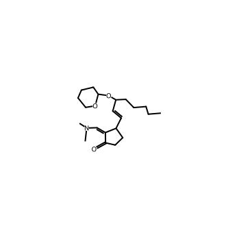 CCCCCC(C=CC1CCC(=O)C1=CN(C)C)OC1CCCCO1